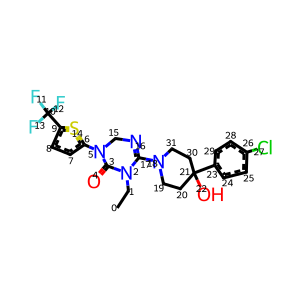 CCN1C(=O)N(c2ccc(C(F)(F)F)s2)CN=C1N1CCC(O)(c2ccc(Cl)cc2)CC1